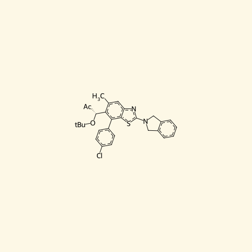 CC(=O)[C@@H](OC(C)(C)C)c1c(C)cc2nc(N3Cc4ccccc4C3)sc2c1-c1ccc(Cl)cc1